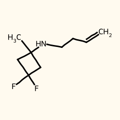 C=CCCNC1(C)CC(F)(F)C1